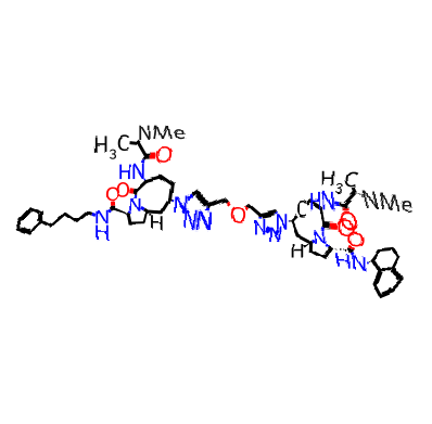 CN[C@@H](C)C(=O)N[C@H]1CC[C@H](n2cc(COCc3cn([C@@H]4CC[C@H](NC(=O)[C@H](C)NC)C(=O)N5[C@H](CC[C@H]5C(=O)N[C@@H]5CCCc6ccccc65)C4)nn3)nn2)C[C@H]2CC[C@@H](C(=O)NCCCCc3ccccc3)N2C1=O